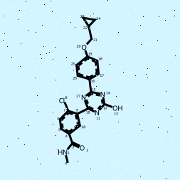 CNC(=O)c1ccc(Cl)c(-c2nc(O)nc(-c3ccc(OCC4CC4)cc3)n2)c1